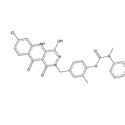 Cc1cc(Cn2nc(O)c3[nH]c4cc(Cl)ccc4c(=O)c3c2=O)ccc1OC(=O)N(C)c1ccccc1